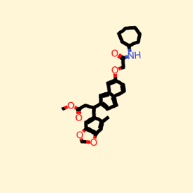 COC(=O)CC(c1ccc2ccc(OCC(=O)NC3CCCCCC3)cc2c1)c1cc2c(cc1C)OCO2